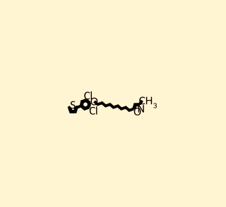 Cc1cc(CCCCCCCCCOc2c(Cl)cc(-c3cccs3)cc2Cl)on1